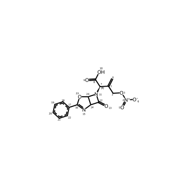 C=C(CO[N+](=O)[O-])[C@H](C(=O)O)N1C(=O)C2N=C(c3ccccc3)OC21